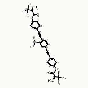 C=C(C(=O)Oc1ccc(C#Cc2ccc(C#Cc3ccc(OC(=O)C(=C)C(F)(F)F)cc3)c(C(F)F)c2)cc1)C(F)(F)F